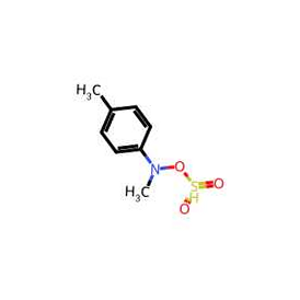 Cc1ccc(N(C)O[SH](=O)=O)cc1